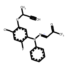 C#CC(C)Oc1cc(N(/N=C/C(=O)C(F)(F)F)c2ccccc2)c(F)cc1Cl